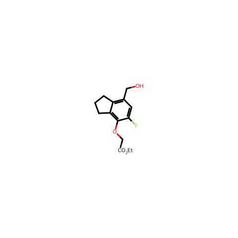 CCOC(=O)COc1c(F)cc(CO)c2c1CCC2